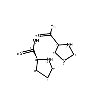 O=C(O)C1CSCN1.OC(=S)[C@@H]1CCCN1